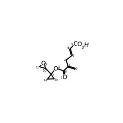 C=C(CC=CC(=O)O)C(=O)OC1(C2CO2)CC1